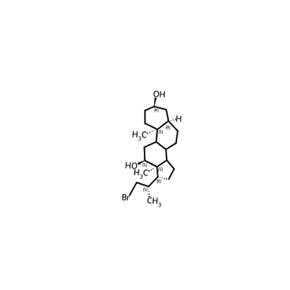 C[C@H](CBr)[C@H]1CCC2C3CC[C@@H]4C[C@H](O)CC[C@]4(C)C3C[C@H](O)[C@@]21C